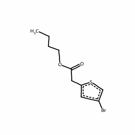 CCCCOC(=O)Cc1cc(Br)cs1